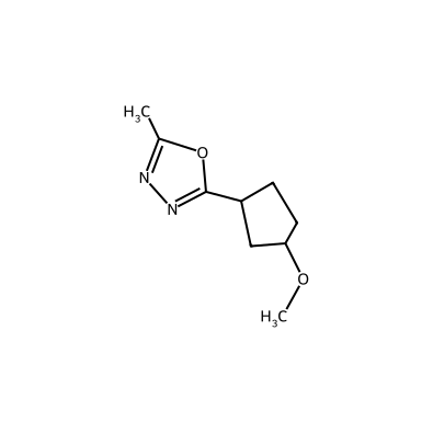 COC1CCC(c2nnc(C)o2)C1